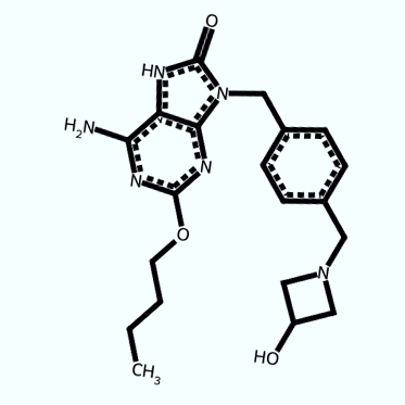 CCCCOc1nc(N)c2[nH]c(=O)n(Cc3ccc(CN4CC(O)C4)cc3)c2n1